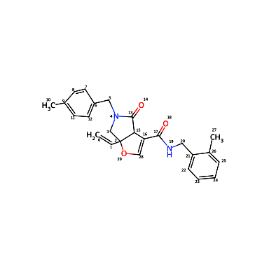 C=CC12CN(Cc3ccc(C)cc3)C(=O)C1C(C(=O)NCc1ccccc1C)=CO2